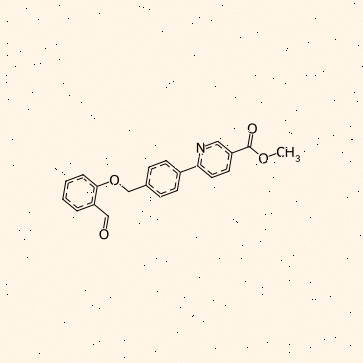 COC(=O)c1ccc(-c2ccc(COc3ccccc3C=O)cc2)nc1